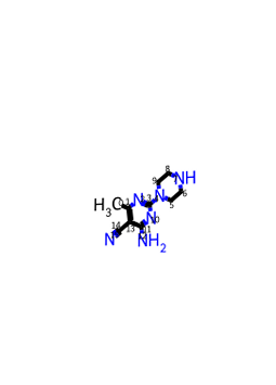 Cc1nc(N2CCNCC2)nc(N)c1C#N